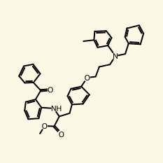 COC(=O)C(Cc1ccc(OCCCN(Cc2ccccc2)c2cccc(C)c2)cc1)Nc1ccccc1C(=O)c1ccccc1